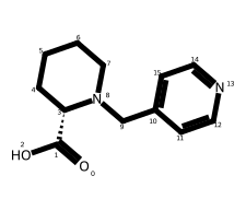 O=C(O)[C@@H]1CCCCN1Cc1ccncc1